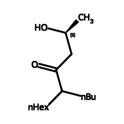 CCCCCCC(CCCC)C(=O)C[C@H](C)O